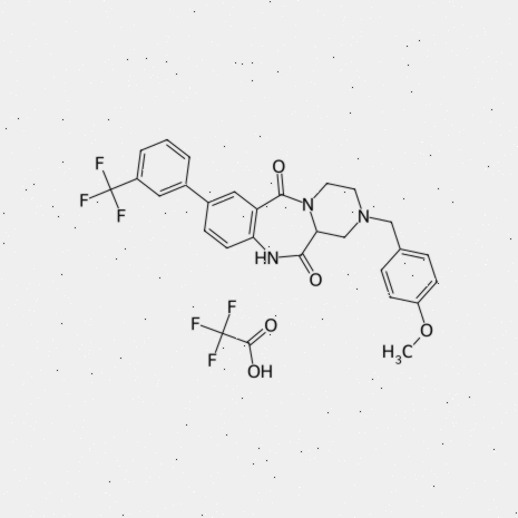 COc1ccc(CN2CCN3C(=O)c4cc(-c5cccc(C(F)(F)F)c5)ccc4NC(=O)C3C2)cc1.O=C(O)C(F)(F)F